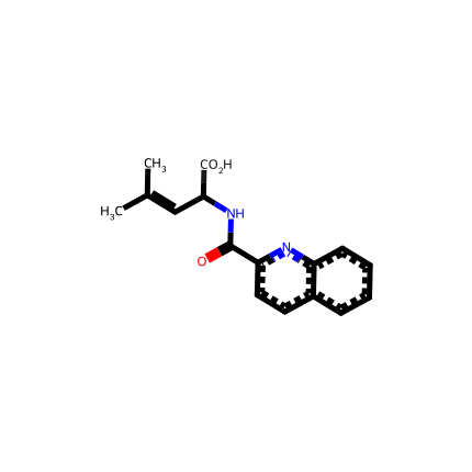 CC(C)=CC(NC(=O)c1ccc2ccccc2n1)C(=O)O